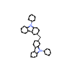 c1ccc(-n2c3ccccc3c3cc(Cc4ccc5c6ccccc6n(-c6ccccc6)c5c4)ccc32)cc1